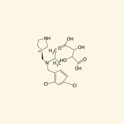 CC(C)N(Cc1ccc(Cl)cc1Cl)C[C@H]1CCNC1.O=C(O)C(O)C(O)C(=O)O